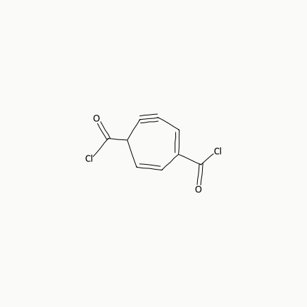 O=C(Cl)C1=CC#CC(C(=O)Cl)C=C1